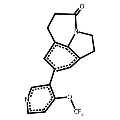 O=C1CCc2cc(-c3cnccc3OC(F)(F)F)cc3c2N1CC3